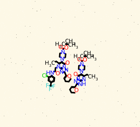 CCc1[nH]c2nc(C3=CCCCO3)nn2c(=O)c1N1CCN(C(=O)OC(C)(C)C)CC1.CCc1c(N2CCN(C(=O)OC(C)(C)C)CC2)c(=O)n2nc(C3=CCCCO3)nc2n1CC(=O)Nc1ccc(C(F)(F)F)cc1Cl